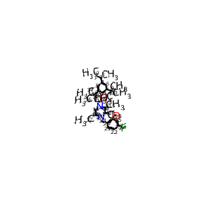 CCC(C)c1cc(C(C)(C)C)c(OCN2C[C@@H](C)N(Cc3ccc(F)cc3)C(=C=O)[C@@H]2C)c(C(C)(C)C)c1